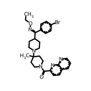 CCON=C(c1ccc(Br)cc1)C1CCN(C2(C)CCN(C(=O)c3ccc4cccnc4n3)CC2)CC1